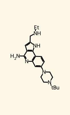 CCNCc1cc2c(N)nc3cc(N4CCN(C(C)(C)C)CC4)ccc3c2[nH]1